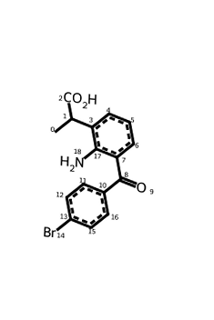 CC(C(=O)O)c1cccc(C(=O)c2ccc(Br)cc2)c1N